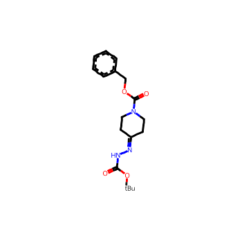 CC(C)(C)OC(=O)NN=C1CCN(C(=O)OCc2ccccc2)CC1